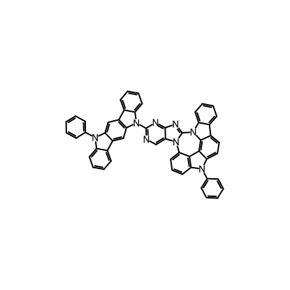 c1ccc(-n2c3ccccc3c3cc4c(cc32)c2ccccc2n4-c2ncc3c(n2)nc2n3c3cccc4c3c3c(ccc5c6ccccc6n2c53)n4-c2ccccc2)cc1